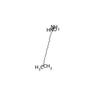 CC(C)CCCCCCCCCCCCCCCCCCCCCCNC(N)=O